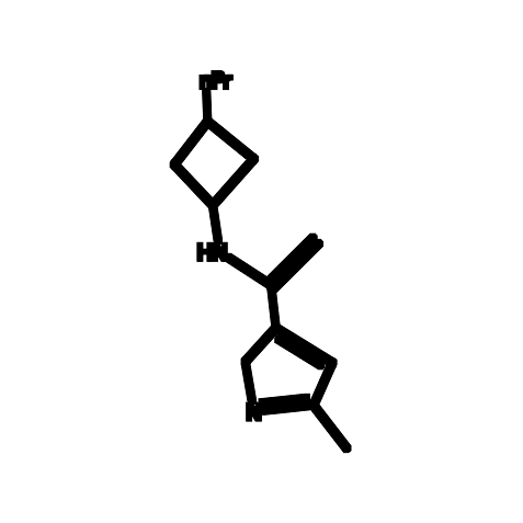 C=C(NC1CC(CCC)C1)C1=CC(C)=NC1